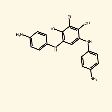 CCc1c(O)c(Nc2ccc(N)cc2)cc(Nc2ccc(N)cc2)c1O